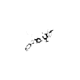 CO[C@H](C)c1c(Nc2ccc([C@H](N(C)C(=O)C3CCS(=O)(=O)CC3)C(F)(F)F)cc2)cnc2sc(C)nc12